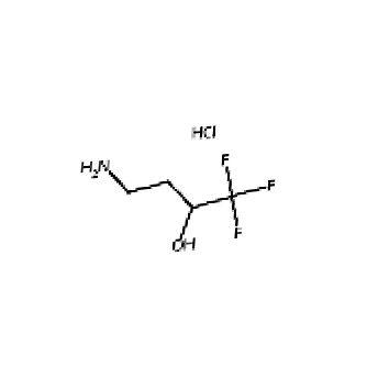 Cl.NCCC(O)C(F)(F)F